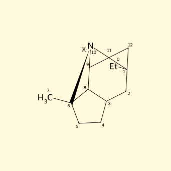 CCC12CC3CCC4(C)C3C3[N@]4C31C2